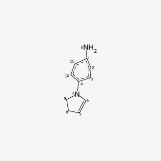 Nc1ccc(N2C=CCC2)cc1